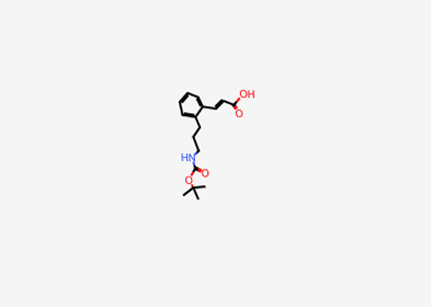 CC(C)(C)OC(=O)NCCCc1ccccc1C=CC(=O)O